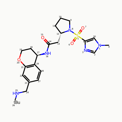 Cn1cnc(S(=O)(=O)N2CCC[C@H]2CC(=O)N[C@@H]2CCOc3cc(CNC(C)(C)C)ccc32)c1